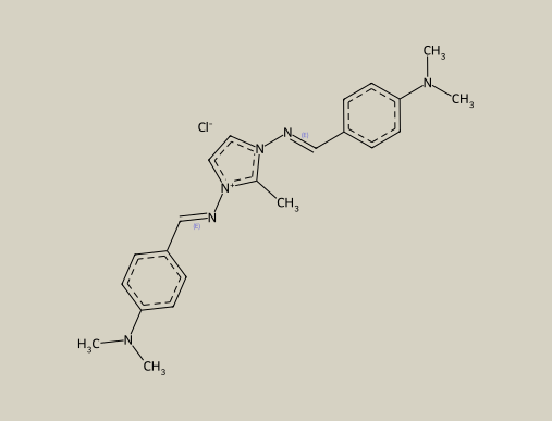 Cc1n(/N=C/c2ccc(N(C)C)cc2)cc[n+]1/N=C/c1ccc(N(C)C)cc1.[Cl-]